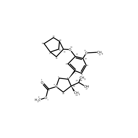 COC(=O)N1C[C@@H](c2ccc(OC)c(OC3CC4CCC3C4)c2)[C@](C)(C(C)O)C1